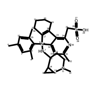 Cc1cc(C)c([N+]2(NC(CCN(C)C)C3CC3)C3=C(CCCC3)c3c(CS(=O)(=O)O)nc(C)nc32)c(C)c1